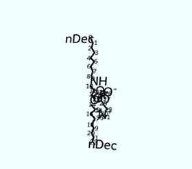 CCCCCCCCCCCCCCCCCCNCC(COCCCCCCCCCCCCCCCCCC)OP(=O)([O-])OCC[N+](C)(C)C